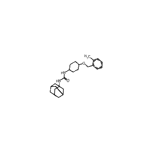 Cc1ccccc1COC1CCC(NC(=O)NC23CC4CC(CC(C4)C2)C3)CC1